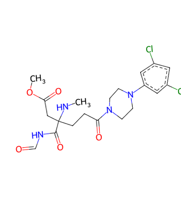 CNC(CCC(=O)N1CCN(c2cc(Cl)cc(Cl)c2)CC1)(CC(=O)OC)C(=O)NC=O